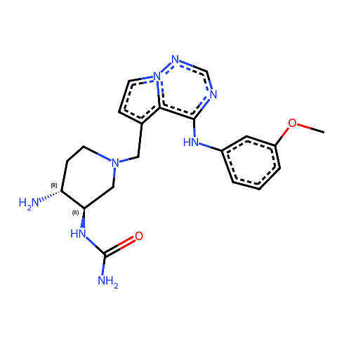 COc1cccc(Nc2ncnn3ccc(CN4CC[C@@H](N)[C@H](NC(N)=O)C4)c23)c1